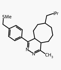 CSCc1ccc(C2=NN=C(C)C3CCCC(CC(C)C)CCC23)cc1